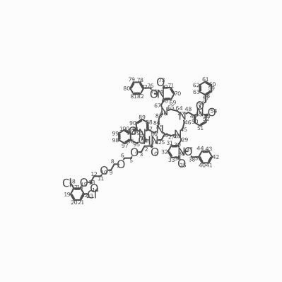 O=C(CCOCCOCCOCCC(=O)Oc1c(Cl)cccc1Cl)NCC1CN(Cc2cccc(=O)n2OCc2ccccc2)CCN(Cc2cccc(=O)n2OCc2ccccc2)CCN(Cc2cccc(=O)n2OCc2ccccc2)CCN1Cc1cccc(=O)n1OCc1ccccc1